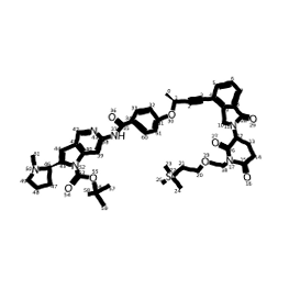 C[C@@H](C#Cc1cccc2c1CN(C1CCC(=O)N(COCC[Si](C)(C)C)C1=O)C2=O)Oc1ccc(C(=O)Nc2cc3c(cn2)cc([C@H]2CCCN2C)n3C(=O)OC(C)(C)C)cc1